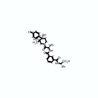 CC(C)[C@H](NC(=O)c1cccc(C(=O)N[C@@H](C(=O)N2CC[C@](O)(c3ccc(Cl)cc3)C(C)(C)C2)C(C)C)c1)C(=O)O